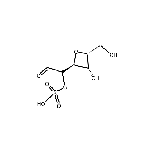 O=CC(OS(=O)(=O)O)[C@H]1O[C@H](CO)[C@@H]1O